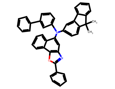 CC1(C)c2ccccc2-c2cc(N(c3cccc(-c4ccccc4)c3)c3cc4nc(-c5ccccc5)oc4c4ccccc34)ccc21